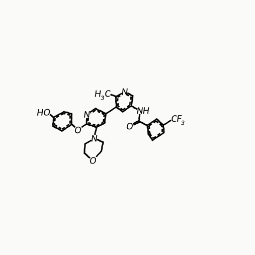 Cc1ncc(NC(=O)c2cccc(C(F)(F)F)c2)cc1-c1cnc(Oc2ccc(O)cc2)c(N2CCOCC2)c1